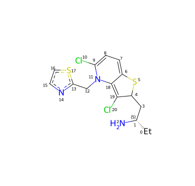 CC[C@H](N)CC1SC2=CC=C(Cl)N(Cc3nccs3)C2=C1Cl